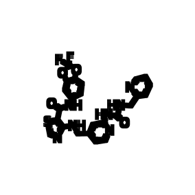 O=C(NCc1ccccn1)Nc1cc(CNc2ncsc2C(=O)Nc2ccc3c(c2)OC(F)(F)O3)ccn1